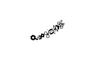 C[C@@H]1CN(c2ncc(S(=O)(=O)C(F)F)cn2)[C@@H](C)CN1C(=O)OC1CC2(C1)CN(Cc1ccccc1)C2